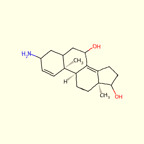 C[C@]12CC[C@@H]3C(=C1CCC2O)C(O)CC1CC(N)C=C[C@@]13C